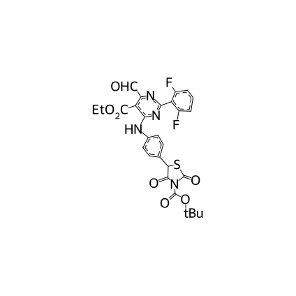 CCOC(=O)c1c(C=O)nc(-c2c(F)cccc2F)nc1Nc1ccc(C2SC(=O)N(C(=O)OC(C)(C)C)C2=O)cc1